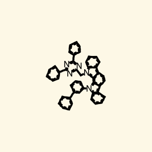 c1ccc(-c2cccc(-n3c4ccccc4c4ccc5c6ccccc6n(Cc6nc(-c7ccccc7)nc(-c7ccccc7)n6)c5c43)c2)cc1